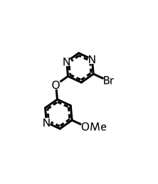 COc1cncc(Oc2cc(Br)ncn2)c1